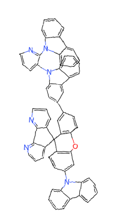 c1cnc(-n2c3ccccc3c3ccccc32)c(-n2c3ccccc3c3cc(-c4ccc5c(c4)C4(c6ccc(-n7c8ccccc8c8ccccc87)cc6O5)c5cccnc5-c5ncccc54)ccc32)c1